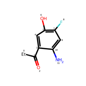 CCC(=O)c1cc(O)c(F)cc1N